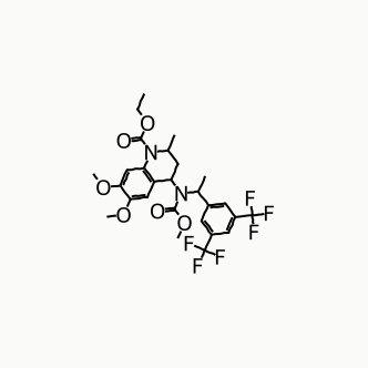 CCOC(=O)N1c2cc(OC)c(OC)cc2C(N(C(=O)OC)C(C)c2cc(C(F)(F)F)cc(C(F)(F)F)c2)CC1C